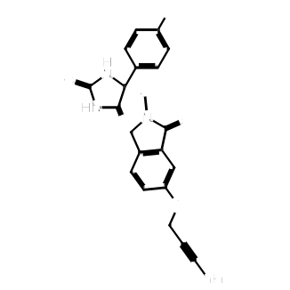 CCCC#CCOc1ccc2c(c1)C(=O)N(C[C@@]1(c3ccc(F)cc3)NC(=O)NC1=O)C2